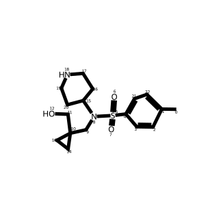 Cc1ccc(S(=O)(=O)N(CC2(CO)CC2)C2CCNCC2)cc1